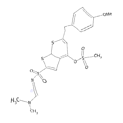 COc1ccc(CC2=CC(OS(C)(=O)=O)=C3C=C(S(=O)(=O)/N=C/N(C)C)SC3S2)cc1